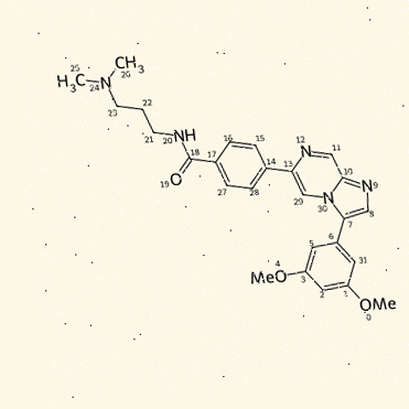 COc1cc(OC)cc(-c2cnc3cnc(-c4ccc(C(=O)NCCCN(C)C)cc4)cn23)c1